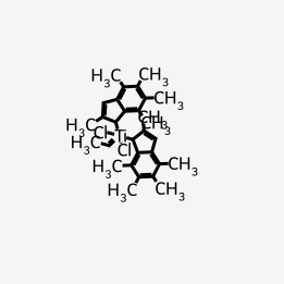 C[CH]=[Ti]([Cl])([Cl])([CH]1C(C)=Cc2c(C)c(C)c(C)c(C)c21)[CH]1C(C)=Cc2c(C)c(C)c(C)c(C)c21